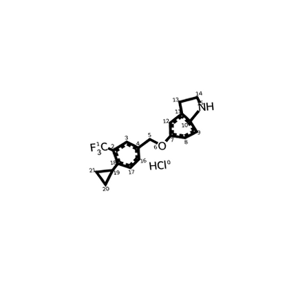 Cl.FC(F)(F)c1cc(COc2ccc3c(c2)CCN3)ccc1C1CC1